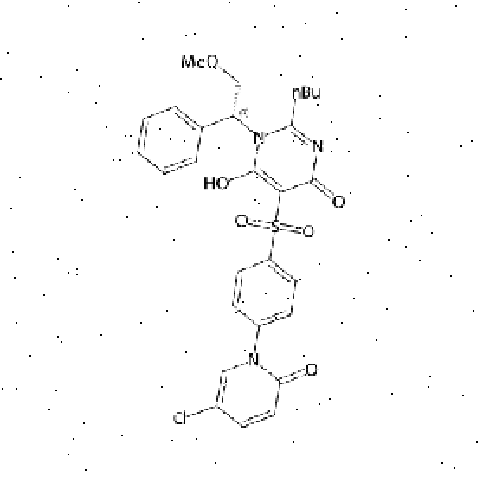 CCCCc1nc(=O)c(S(=O)(=O)c2ccc(-n3cc(Cl)ccc3=O)cc2)c(O)n1[C@@H](COC)c1ccccc1